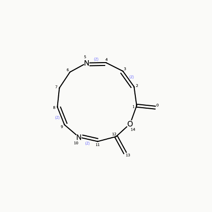 C=C1/C=C\C=N/CC/C=C\N=C/C(=C)O1